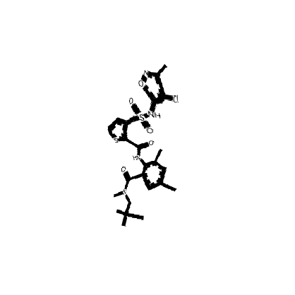 Cc1cc(C)c(NC(=O)c2sccc2S(=O)(=O)Nc2onc(C)c2Cl)c(C(=O)N(C)CC(C)(C)C)c1